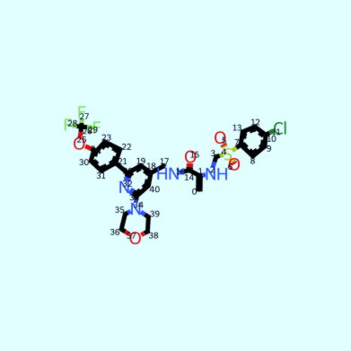 C=C(NCS(=O)(=O)c1ccc(Cl)cc1)C(=O)NCc1cc(-c2ccc(OC(F)(F)F)cc2)nc(N2CCOCC2)c1